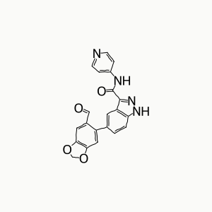 O=Cc1cc2c(cc1-c1ccc3[nH]nc(C(=O)Nc4ccncc4)c3c1)OCO2